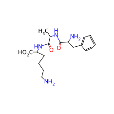 CC(NC(=O)C(N)Cc1ccccc1)C(=O)NC(CCCCN)C(=O)O